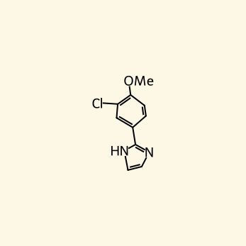 COc1ccc(-c2ncc[nH]2)cc1Cl